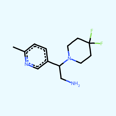 Cc1ccc(C(CN)N2CCC(F)(F)CC2)cn1